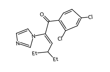 CCC(/C=C(/C(=O)c1ccc(Cl)cc1Cl)n1ccnc1)CC